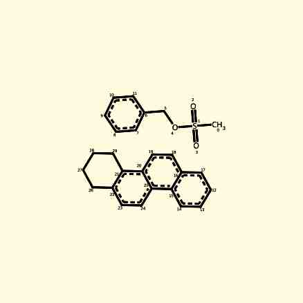 CS(=O)(=O)OCc1ccccc1.c1ccc2c(c1)ccc1c3c(ccc12)CCCC3